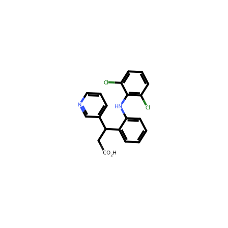 O=C(O)CC(c1cccnc1)c1ccccc1Nc1c(Cl)cccc1Cl